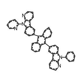 c1ccc(-n2c3ccc(-c4c5ccccc5c(-c5ccc6c(c5)c5cccnc5n6-c5ccccn5)c5ccccc45)cc3c3cccnc32)cc1